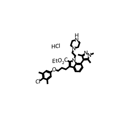 CCOC(=O)c1c(CCCOc2cc(C)c(Cl)c(C)c2)c2cccc(-c3c(C)nn(C)c3C)c2n1CCN1CCNCC1.Cl